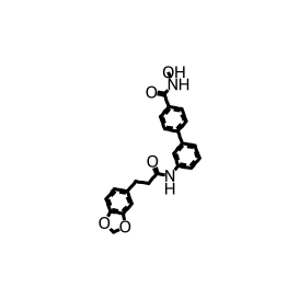 O=C(CCc1ccc2c(c1)OCO2)Nc1cccc(-c2ccc(C(=O)NO)cc2)c1